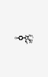 CC(C)NN1C(N)N=C(c2ccc(Cl)cc2)N1C=S